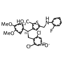 COc1ccc([C@H](Cc2c(Cl)c[n+]([O-])cc2Cl)c2cc(CNc3ccccc3F)sc2C(=O)O)cc1OC